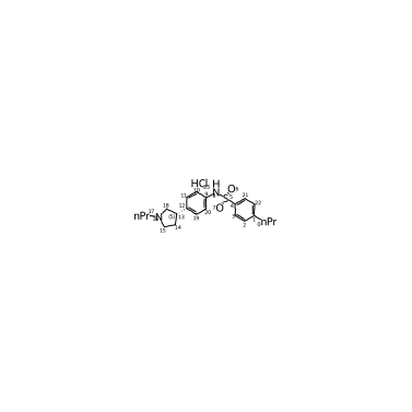 CCCc1ccc(S(=O)(=O)Nc2ccc([C@@H]3CCN(CCC)C3)cc2)cc1.Cl